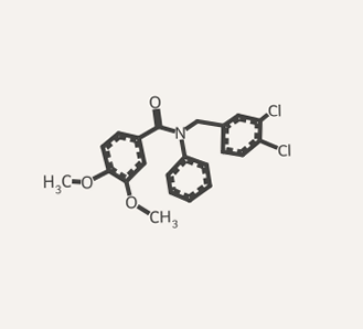 COc1ccc(C(=O)N(Cc2ccc(Cl)c(Cl)c2)c2ccccc2)cc1OC